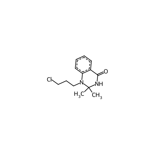 CC1(C)NC(=O)c2ccccc2N1CCCCl